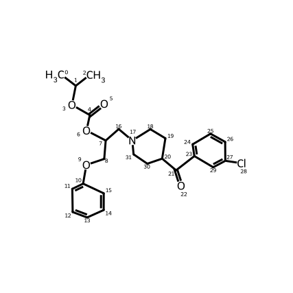 CC(C)OC(=O)OC(COc1ccccc1)CN1CCC(C(=O)c2cccc(Cl)c2)CC1